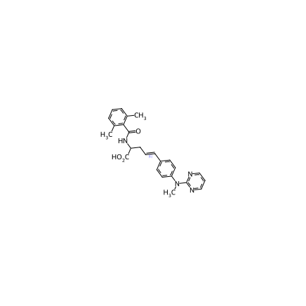 Cc1cccc(C)c1C(=O)NC(C/C=C/c1ccc(N(C)c2ncccn2)cc1)C(=O)O